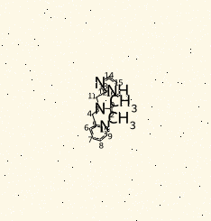 CC(C)N(Cc1ccccn1)Cc1ncc[nH]1